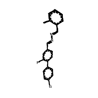 CCc1ccc(-c2ccc(C=NN=Cc3ccccc3C)cc2F)cc1